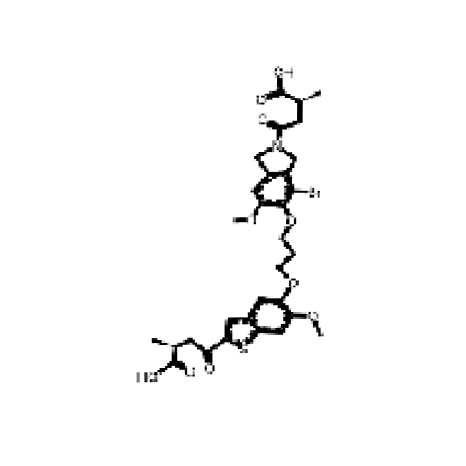 COc1cc2sc(C(=O)C[C@H](C)C(=O)O)cc2cc1OCCCOc1c(OC)cc2c(c1Br)CN(C(=O)C[C@H](C)C(=O)O)C2